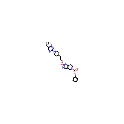 CCc1cnc(N2CCC(CCCOc3ncc4c(n3)CCN(C(=O)OCc3ccccc3)C4)CC2)nc1